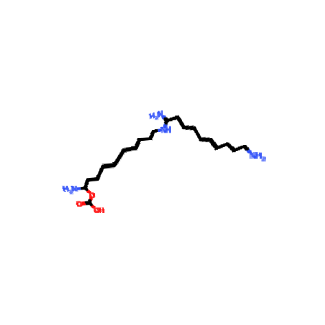 NCCCCCCCCCC(N)NCCCCCCCCCC(N)OC(=O)O